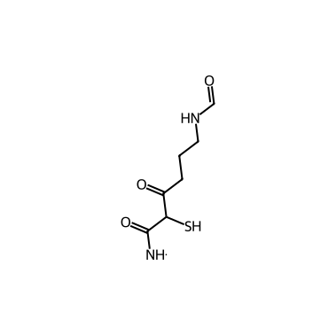 [NH]C(=O)C(S)C(=O)CCCNC=O